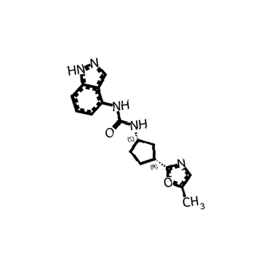 Cc1cnc([C@@H]2CC[C@H](NC(=O)Nc3cccc4[nH]ncc34)C2)o1